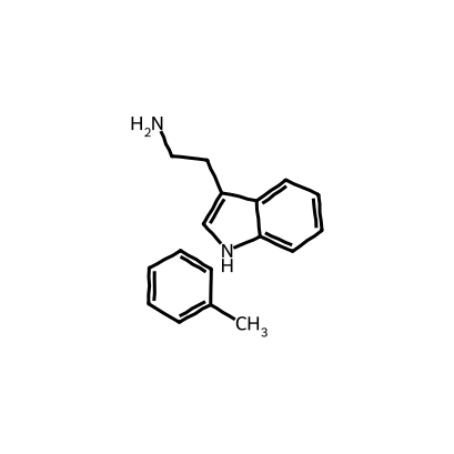 Cc1ccccc1.NCCc1c[nH]c2ccccc12